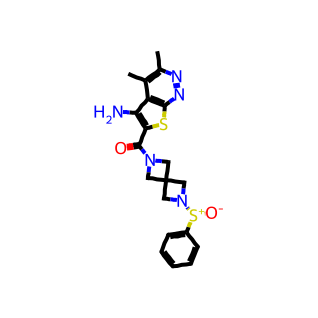 Cc1nnc2sc(C(=O)N3CC4(C3)CN([S+]([O-])c3ccccc3)C4)c(N)c2c1C